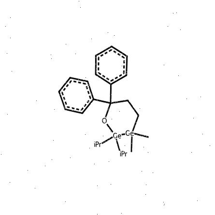 C[CH](C)[Ge]1([CH](C)C)[O]C(c2ccccc2)(c2ccccc2)C[CH2][Ge]1([CH3])[CH3]